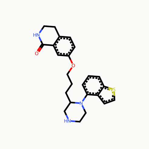 O=C1NCCc2ccc(OCCCC3CNCCN3c3cccc4sccc34)cc21